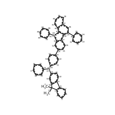 CC1(C)c2ccccc2-c2ccc(N(c3ccccc3)c3ccc(-c4ccc5c6c(-c7ccccc7)cc7ccccc7c6n(-c6ccccc6)c5c4)cc3)cc21